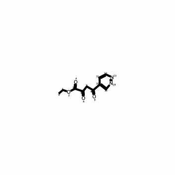 CCOC(=O)C(=O)CC(=O)c1ccnnc1